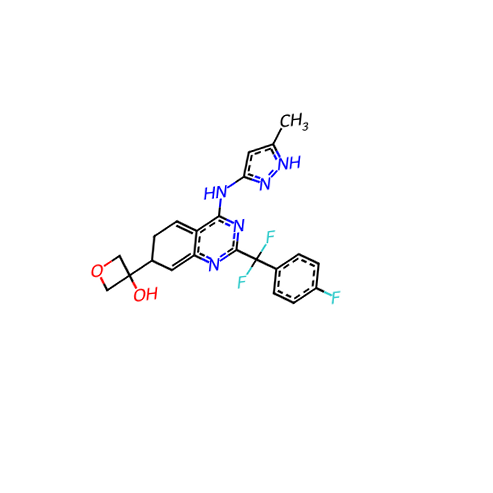 Cc1cc(Nc2nc(C(F)(F)c3ccc(F)cc3)nc3c2=CCC(C2(O)COC2)C=3)n[nH]1